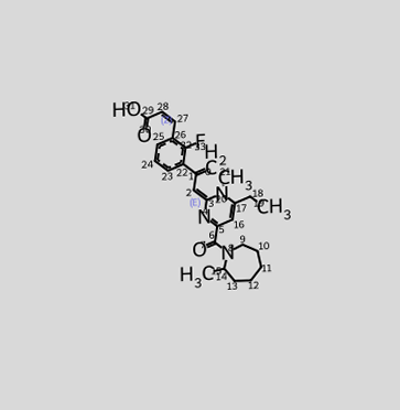 C=C(/C=C1/N=C(C(=O)N2CCCCCC2C)C=C(CC)N1C)c1cccc(/C=C\C(=O)O)c1F